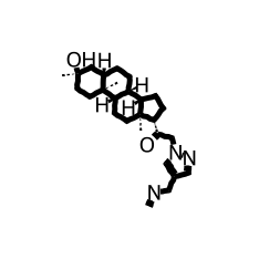 C=NCc1cnn(CC(=O)[C@H]2CC[C@H]3[C@@H]4CC[C@H]5C[C@](C)(O)CC[C@]5(C)[C@H]4CC[C@]23C)c1